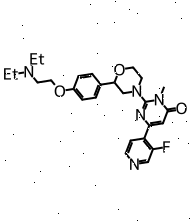 CCN(CC)CCOc1ccc(C2CN(c3nc(-c4ccncc4F)cc(=O)n3C)CCO2)cc1